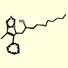 CCCCCCCCC(O)CC1C(c2ccccc2)=C(C)c2cncn21